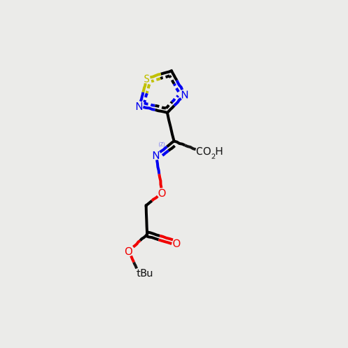 CC(C)(C)OC(=O)CO/N=C(\C(=O)O)c1ncsn1